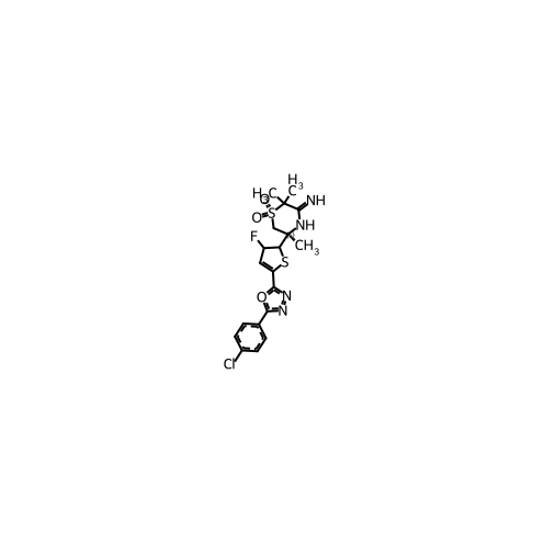 CC1(C)C(=N)N[C@](C)(C2SC(c3nnc(-c4ccc(Cl)cc4)o3)=CC2F)CS1(=O)=O